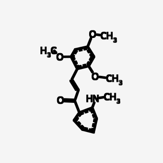 CNc1ccccc1C(=O)C=Cc1c(OC)cc(OC)cc1OC